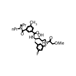 CCCN(CCC)C(=O)c1cc(C)cc(C(=O)N[C@@H](Cc2cc(F)cc(F)c2)[C@H](O)CCNC(=O)COC)c1